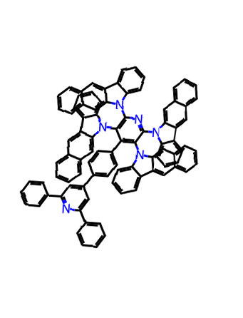 c1ccc(-c2cc(-c3ccc(-c4c(-n5c6ccccc6c6cc7ccccc7cc65)c(-n5c6ccccc6c6cc7ccccc7cc65)nc(-n5c6ccccc6c6cc7ccccc7cc65)c4-n4c5ccccc5c5cc6ccccc6cc54)cc3)cc(-c3ccccc3)n2)cc1